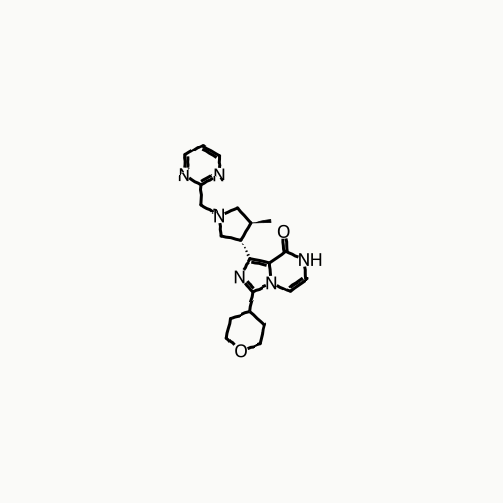 C[C@@H]1CN(Cc2ncccn2)C[C@H]1c1nc(C2CCOCC2)n2cc[nH]c(=O)c12